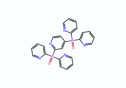 O=P(c1ccnc(P(=O)(c2ccccn2)c2ccccn2)c1)(c1ccccn1)c1ccccn1